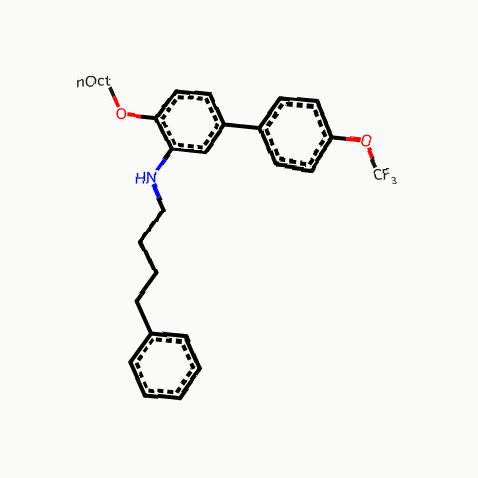 CCCCCCCCOc1ccc(-c2ccc(OC(F)(F)F)cc2)cc1NCCCCc1ccccc1